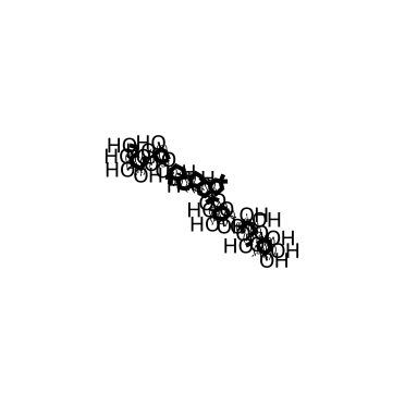 C[C@@H]1O[C@@H](O[C@H]2[C@H](O)[C@@H](O)[C@H](OC[C@H]3O[C@@H](OC(=O)[C@]45CCC(C)(C)C[C@H]4C4=CC[C@@H]6[C@@]7(C)CC[C@H](O[C@@H]8OC[C@H](O)[C@H](O)[C@H]8O[C@@H]8O[C@H](CO)[C@@H](O)[C@H](O)[C@H]8O)C(C)(C)[C@@H]7CC[C@@]6(C)[C@]4(C)CC5)[C@H](O)[C@@H](O)[C@@H]3O)O[C@@H]2CO)[C@H](O)[C@H](O)[C@H]1O